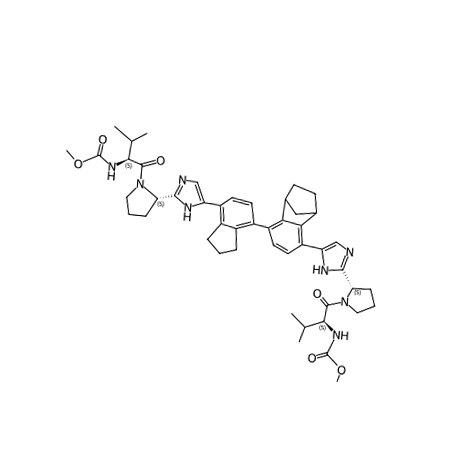 COC(=O)N[C@H](C(=O)N1CCC[C@H]1c1ncc(-c2ccc(-c3ccc(-c4cnc([C@@H]5CCCN5C(=O)[C@@H](NC(=O)OC)C(C)C)[nH]4)c4c3C3CCC4C3)c3c2CCC3)[nH]1)C(C)C